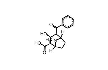 CN1[C@@H]2CC[C@H]1C(C(=O)c1ccccc1)[C@H](O)[C@@H]2C(=O)O